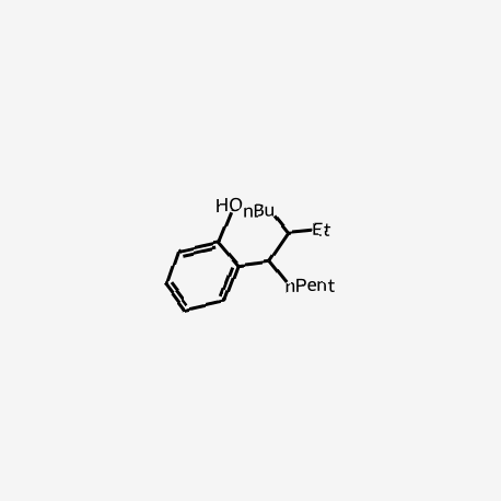 CCCCCC(c1ccccc1O)C(CC)CCCC